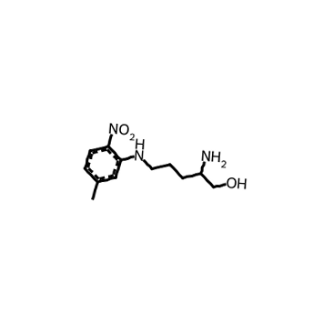 Cc1ccc([N+](=O)[O-])c(NCCCC(N)CO)c1